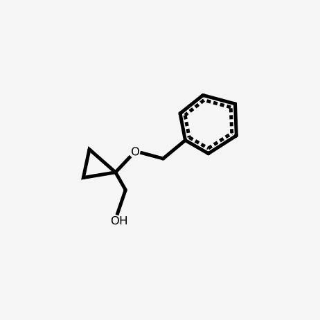 OCC1(OCc2ccccc2)CC1